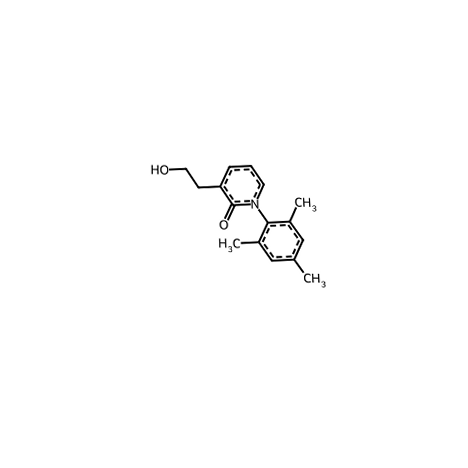 Cc1cc(C)c(-n2cccc(CCO)c2=O)c(C)c1